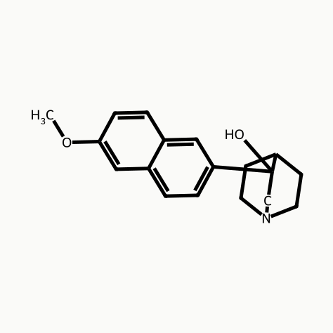 COc1ccc2cc(C3(O)CN4CCC3CC4)ccc2c1